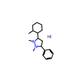 CC1CCCCC1C1CC(c2ccccc2)N(C)N1C.I